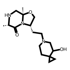 C[C@@H]1NC[C@@]2(C)OC[C@H](CCN3CCC4(CC4)C(O)C3)N2C1=O